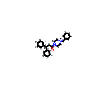 C[N+]1(Cc2ccccc2)CCN(C(=O)CC(c2ccccc2)c2ccccc2)CC1